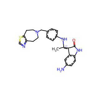 C/C(Nc1ccc(CN2CCc3ncsc3CC2)cc1)=C1/C(=O)Nc2ccc(N)cc21